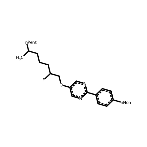 CCCCCCCCCc1ccc(-c2ncc(OCC(F)CCCC(C)CCCCC)cn2)cc1